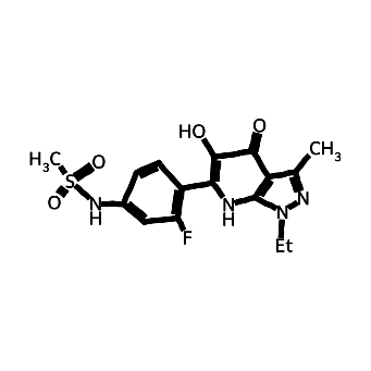 CCn1nc(C)c2c(=O)c(O)c(-c3ccc(NS(C)(=O)=O)cc3F)[nH]c21